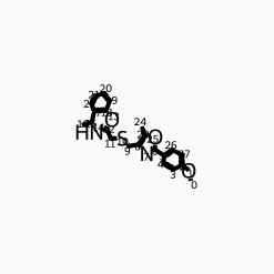 COc1ccc(-c2nc(CSCC(=O)NC(C)c3ccccc3)c(C)o2)cc1